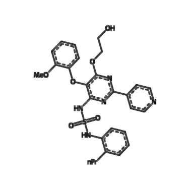 CCCc1ccccc1NS(=O)(=O)Nc1nc(-c2ccncc2)nc(OCCO)c1Oc1ccccc1OC